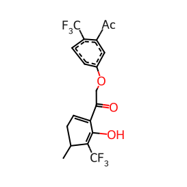 CC(=O)c1cc(OCC(=O)C2=CCC(C)C(C(F)(F)F)=C2O)ccc1C(F)(F)F